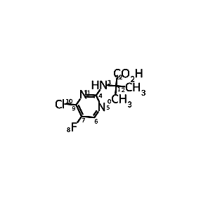 CC(C)(Nc1ncc(F)c(Cl)n1)C(=O)O